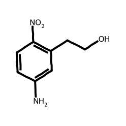 Nc1ccc([N+](=O)[O-])c(CCO)c1